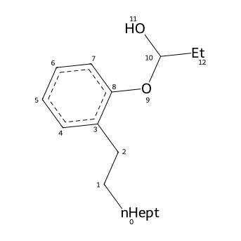 CCCCCCCCCc1ccccc1OC(O)CC